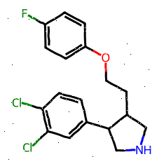 Fc1ccc(OCCC2CNCC2c2ccc(Cl)c(Cl)c2)cc1